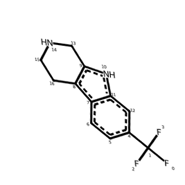 FC(F)(F)c1ccc2c3c([nH]c2c1)CNCC3